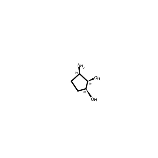 N[C@@H]1CC[C@H](O)[C@@H]1O